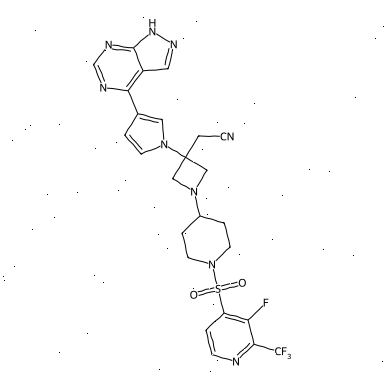 N#CCC1(n2ccc(-c3ncnc4[nH]ncc34)c2)CN(C2CCN(S(=O)(=O)c3ccnc(C(F)(F)F)c3F)CC2)C1